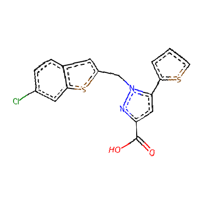 O=C(O)c1cc(-c2cccs2)n(Cc2cc3ccc(Cl)cc3s2)n1